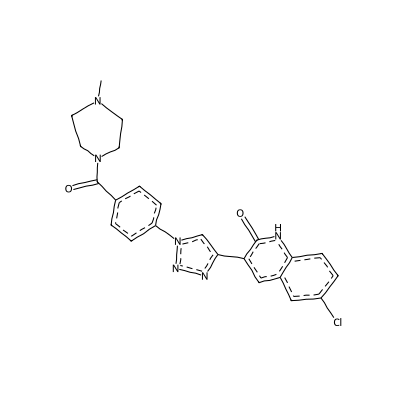 CN1CCN(C(=O)c2ccc(-n3cc(-c4cc5cc(Cl)ccc5[nH]c4=O)nn3)cc2)CC1